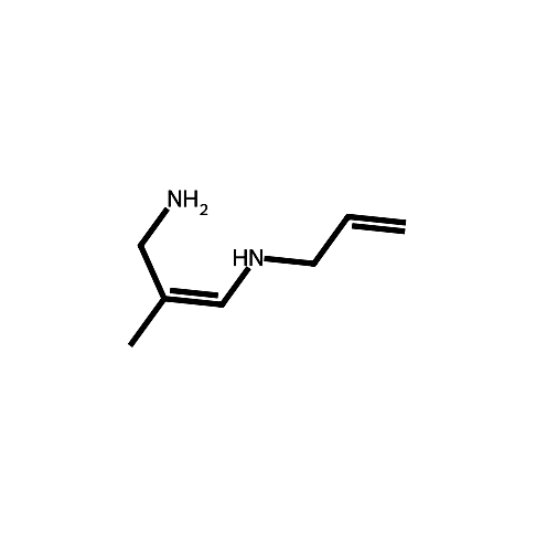 C=CCN/C=C(/C)CN